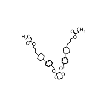 C=CC(=O)OCCC[C@H]1CC[C@H](c2ccc(CO[C@@H]3OCCO[C@H]3OCc3ccc([C@H]4CC[C@H](CCCOC(=O)C=C)CC4)cc3)cc2)CC1